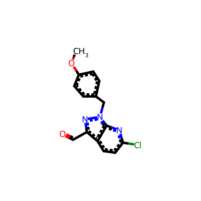 COc1ccc(Cn2nc(C=O)c3ccc(Cl)nc32)cc1